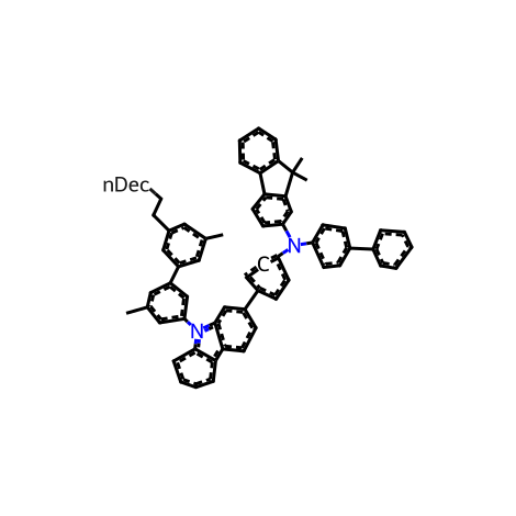 CCCCCCCCCCCCc1cc(C)cc(-c2cc(C)cc(-n3c4ccccc4c4ccc(-c5ccc(N(c6ccc(-c7ccccc7)cc6)c6ccc7c(c6)C(C)(C)c6ccccc6-7)cc5)cc43)c2)c1